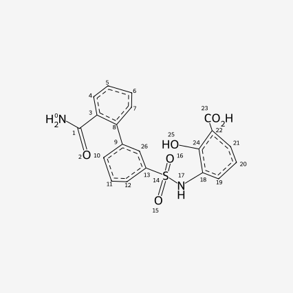 NC(=O)c1ccccc1-c1cccc(S(=O)(=O)Nc2cccc(C(=O)O)c2O)c1